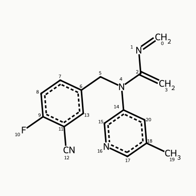 C=NC(=C)N(Cc1ccc(F)c(C#N)c1)c1cncc(C)c1